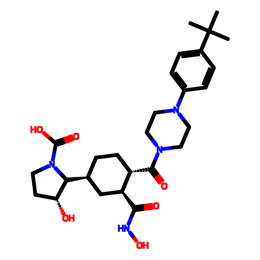 CC(C)(C)c1ccc(N2CCN(C(=O)[C@H]3CC[C@H](C4[C@H](O)CCN4C(=O)O)C[C@@H]3C(=O)NO)CC2)cc1